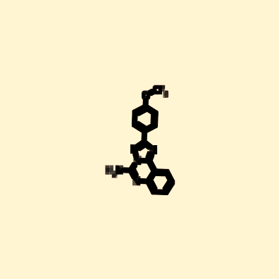 Nc1nc2ccccc2c2nc(-c3ccc(OC(F)(F)F)cc3)nn12